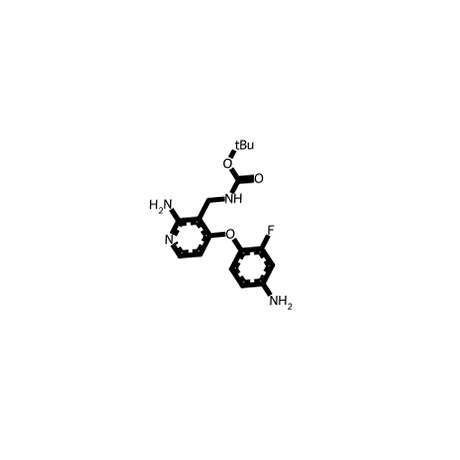 CC(C)(C)OC(=O)NCc1c(Oc2ccc(N)cc2F)ccnc1N